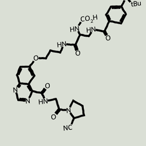 CC(C)(C)[Si](F)(c1ccc(C(=O)NCC(NC(=O)O)C(=O)NCCCOc2ccc3ncnc(C(=O)NCC(=O)N4CCCC4C#N)c3c2)cc1)C(C)(C)C